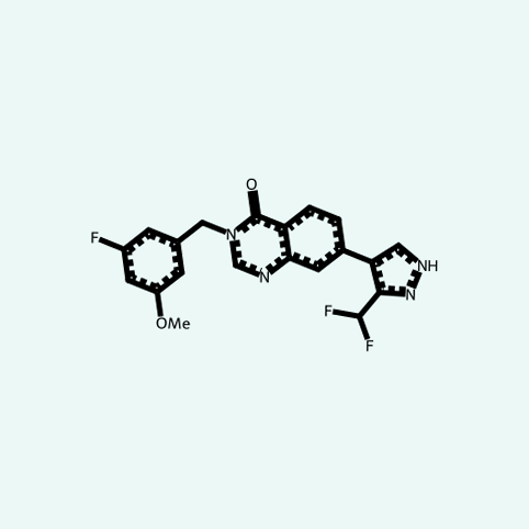 COc1cc(F)cc(Cn2cnc3cc(-c4c[nH]nc4C(F)F)ccc3c2=O)c1